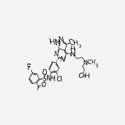 Cc1n[nH]c2nc(-c3ccc(NS(=O)(=O)c4cc(F)ccc4F)c(Cl)c3)nc(NCCN(C)CCO)c12